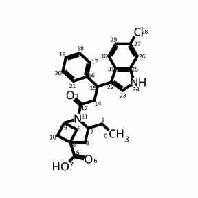 CCC1CC2(C(=O)O)CC(C2)N1C(=O)CC(c1ccccc1)c1c[nH]c2cc(Cl)ccc12